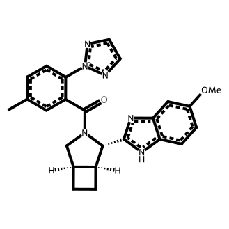 COc1ccc2[nH]c([C@@H]3[C@H]4CC[C@H]4CN3C(=O)c3cc(C)ccc3-n3nccn3)nc2c1